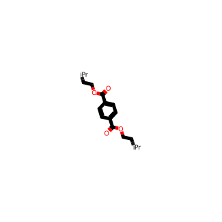 CC(C)CCOC(=O)c1ccc(C(=O)OCCC(C)C)cc1